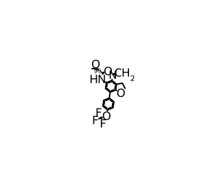 C=Nc1c(NC(=O)[C@H]2CO2)cc(-c2ccc(OC(F)(F)F)cc2)c2c1CCO2